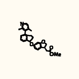 COC(=O)C[C@@H]1COc2cc(O[C@@H]3CCc4c(-c5c(C)ccnc5C)cccc43)ccc21